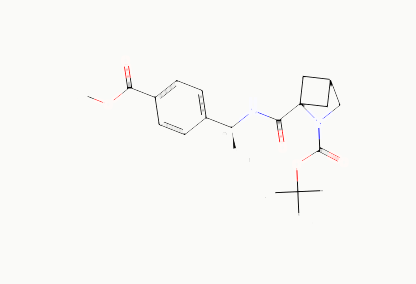 COC(=O)c1ccc([C@H](C)NC(=O)C23CC(CN2C(=O)OC(C)(C)C)C3)cc1